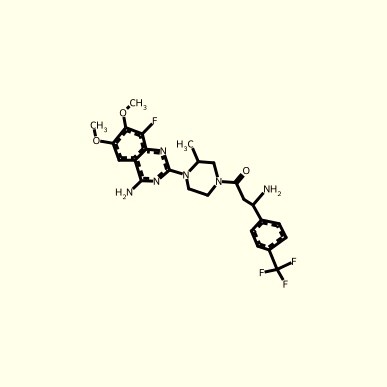 COc1cc2c(N)nc(N3CCN(C(=O)CC(N)c4ccc(C(F)(F)F)cc4)CC3C)nc2c(F)c1OC